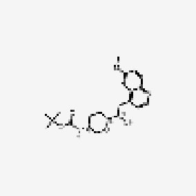 COc1ccc2nccc(C[C@@H](O)[C@@H]3CC[C@@H](NC(=O)OC(C)(C)C)CO3)c2n1